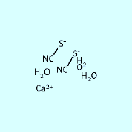 N#C[S-].N#C[S-].O.O.O.[Ca+2]